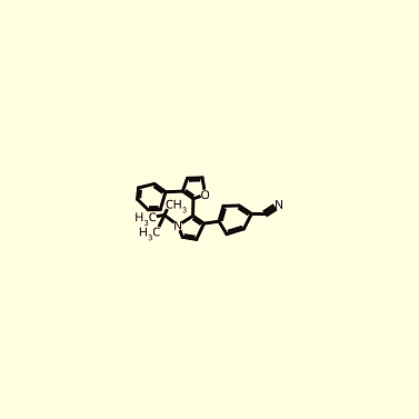 CC(C)(C)n1ccc(-c2ccc(C#N)cc2)c1-c1occc1-c1ccccc1